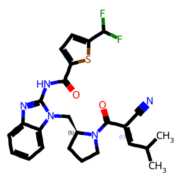 CC(C)/C=C(\C#N)C(=O)N1CCC[C@H]1Cn1c(NC(=O)c2ccc(C(F)F)s2)nc2ccccc21